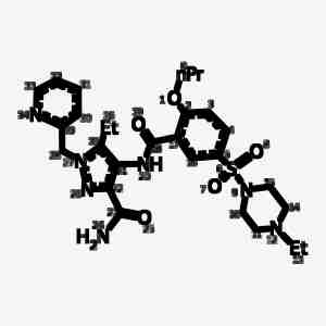 CCCOc1ccc(S(=O)(=O)N2CCN(CC)CC2)cc1C(=O)Nc1c(C(N)=O)nn(Cc2ccccn2)c1CC